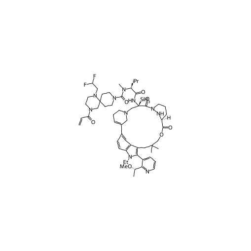 C=CC(=O)N1CCN(CC(F)F)C2(CCN(C(=O)N(C)[C@H](C(=O)N[C@@]3([SiH3])CN4CCC=C(C4)c4ccc5c(c4)c(c(-c4cccnc4[C@H](C)OC)n5CC)CC(C)(C)COC(=O)[C@@H]4CCCN(N4)C3=O)C(C)C)CC2)C1